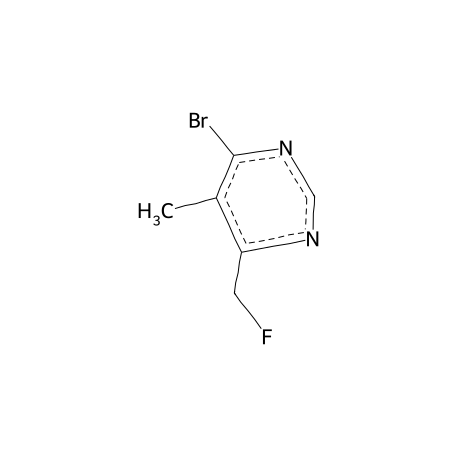 Cc1c(Br)ncnc1CF